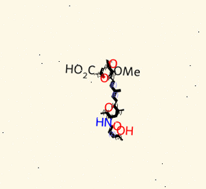 CO[C@@H]1[C@@H](/C=C/C(C)=C/C[C@@H]2O[C@H](C)[C@H](NC(=O)/C=C\[C@H](C)O)C[C@@H]2C)O[C@H](CC(=O)O)C[C@@]12CO2